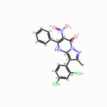 Cc1nn2c(=O)c([N+](=O)[O-])c(-c3ccccc3)[nH]c2c1-c1ccc(Cl)cc1Cl